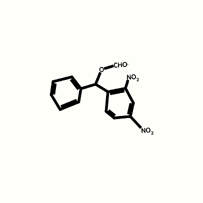 O=[C]OC(c1ccccc1)c1ccc([N+](=O)[O-])cc1[N+](=O)[O-]